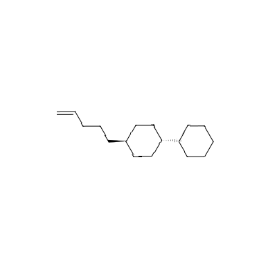 C=CCCC[C@H]1CC[C@H]([C]2CCCCC2)CC1